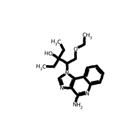 CCOCC(n1cnc2c(N)nc3ccccc3c21)C(O)(CC)CC